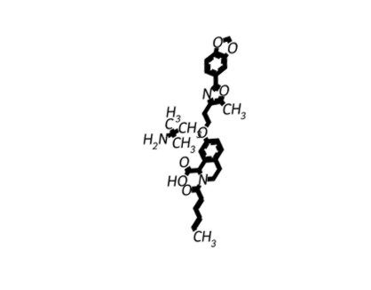 CC(C)(C)N.CC=CC=CC(=O)N1CCc2ccc(OCCc3nc(-c4ccc5c(c4)OCO5)oc3C)cc2C1C(=O)O